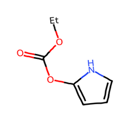 CCOC(=O)Oc1ccc[nH]1